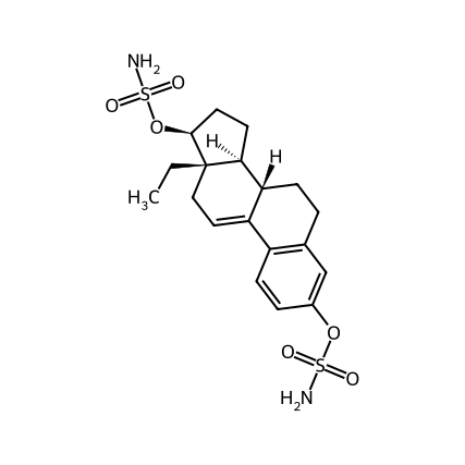 CC[C@]12CC=C3c4ccc(OS(N)(=O)=O)cc4CC[C@H]3[C@@H]1CC[C@@H]2OS(N)(=O)=O